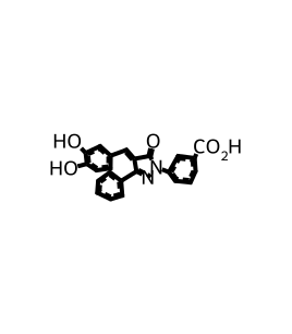 O=C(O)c1cccc(N2N=C(c3ccccc3)/C(=C\c3ccc(O)c(O)c3)C2=O)c1